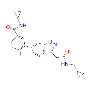 Cc1ccc(C(=O)NC2CC2)cc1-c1ccc2c(CC(=O)NCC3CC3)noc2c1